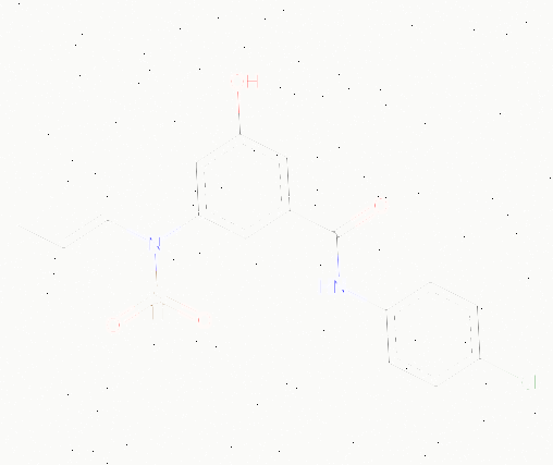 CC=CN(c1cc(O)cc(C(=O)Nc2ccc(Cl)cc2)c1)[SH](=O)=O